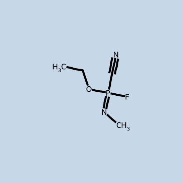 CCOP(F)(C#N)=NC